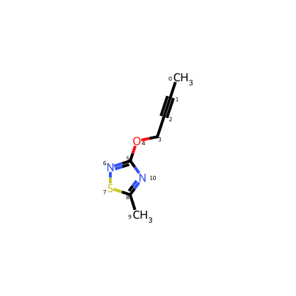 CC#CCOc1nsc(C)n1